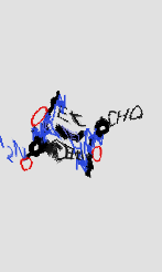 CCn1nc(C)cc1C(=O)/N=c1\n(C)c2cc(C(N)=O)cc(OC)c2n1C/C=C/Cn1c(NC(=O)c2cc(C)nn2CC)nc2cc(C=O)ccc21